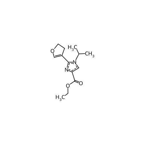 CCOC(=O)c1cn(C(C)C)c(C2=COCC2)n1